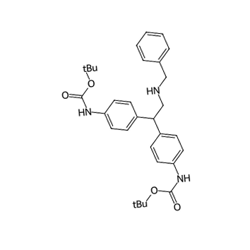 CC(C)(C)OC(=O)Nc1ccc(C(CNCc2ccccc2)c2ccc(NC(=O)OC(C)(C)C)cc2)cc1